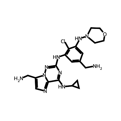 NCc1cc(Nc2nc(NC3CC3)c3ncc(CN)n3n2)c(Cl)c(NN2CCOCC2)c1